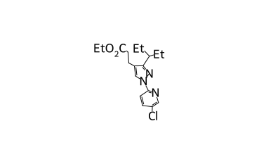 CCOC(=O)CCc1cn(-c2ccc(Cl)cn2)nc1C(CC)CC